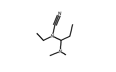 CCC(N(C)C)N(C#N)CC